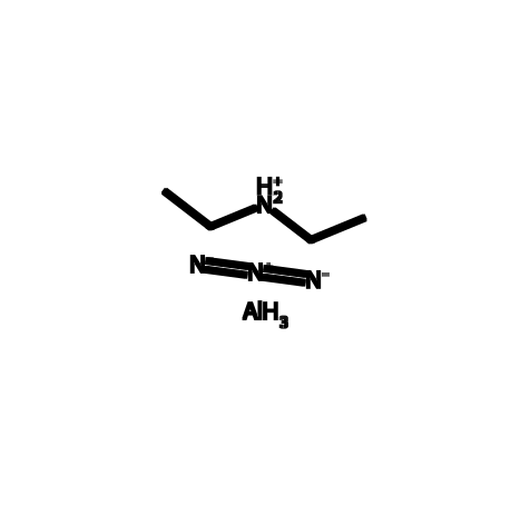 CC[NH2+]CC.[AlH3].[N-]=[N+]=[N-]